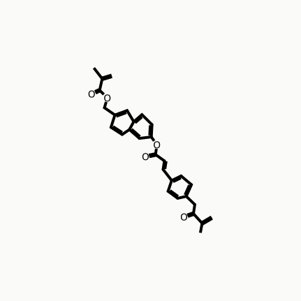 C=C(C)C(=O)Cc1ccc(/C=C/C(=O)Oc2ccc3cc(COC(=O)C(=C)C)ccc3c2)cc1